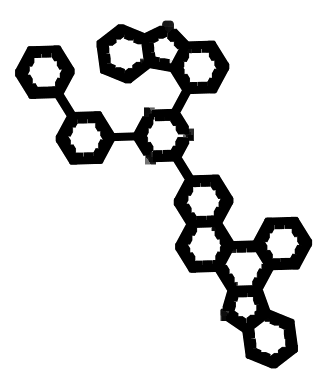 c1ccc(-c2cccc(-c3nc(-c4ccc5c(ccc6c7sc8ccccc8c7c7ccccc7c56)c4)nc(-c4cccc5oc6ccccc6c45)n3)c2)cc1